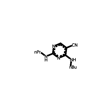 CCCCNc1nc(NCCC)ncc1C#N